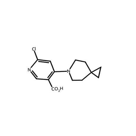 O=C(O)c1cnc(Cl)cc1N1CCC2(CC1)CC2